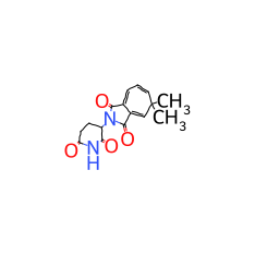 CC1(C)C=CC=C2C(=O)N(C3CCC(=O)NC3=O)C(=O)C2=C1